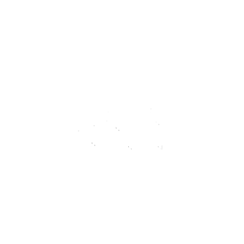 CCNCc1nc2c(N)nc3ccccc3c2n1C(=O)C(C)(C)O